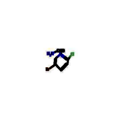 Clc1ccc(Br)cn1.NC=O